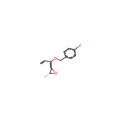 C=CC(OCc1ccc(I)cc1)=C1O[C@@H]1C